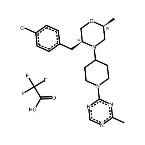 Cc1ncnc(N2CCC(N3C[C@H](C)OC[C@@H]3Cc3ccc(Cl)cc3)CC2)n1.O=C(O)C(F)(F)F